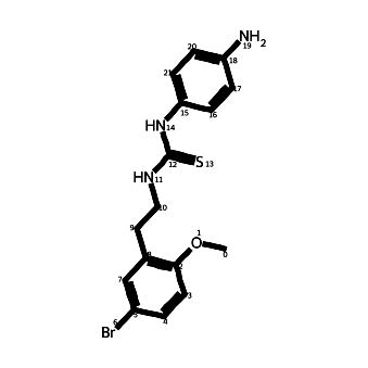 COc1ccc(Br)cc1CCNC(=S)Nc1ccc(N)cc1